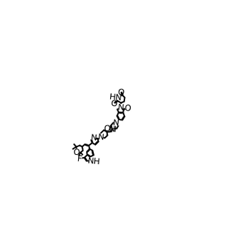 CC1(C)CC(C=C(c2ccc(N3CCC(O)(CN4CCN(c5ccc6c(c5)CN(C5CCC(=O)NC5=O)C6=O)CC4)CC3)nc2)c2ccc3[nH]cc(F)c3c2)CC(C)(C)O1